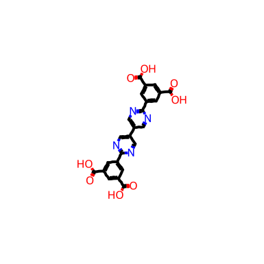 O=C(O)c1cc(C(=O)O)cc(-c2ncc(-c3cnc(-c4cc(C(=O)O)cc(C(=O)O)c4)nc3)cn2)c1